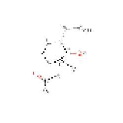 CCC(=O)CC1(CC)CCCC(CC(=O)O)C1=O